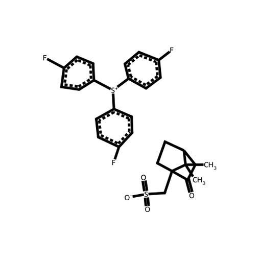 CC1(C)C2CCC1(CS(=O)(=O)[O-])C(=O)C2.Fc1ccc([S+](c2ccc(F)cc2)c2ccc(F)cc2)cc1